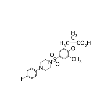 Cc1cc(S(=O)(=O)N2CCN(c3ccc(F)cc3)CC2)ccc1OC(C)(C)C(=O)O